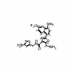 Bc1cc(CNC(=O)c2nc(-c3ccc(OC)c4nc(C(F)(F)F)ccc34)oc2CN)on1